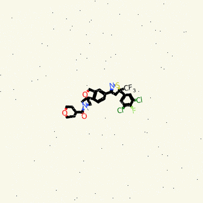 O=C(C1CCOCC1)N1CC2(C1)OCc1cc(C3=NSC(c4cc(Cl)c(F)c(Cl)c4)(C(F)(F)F)C3)ccc12